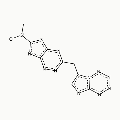 C[S+]([O-])c1nc2nnc(Cc3cnc4nnnnn34)nc2s1